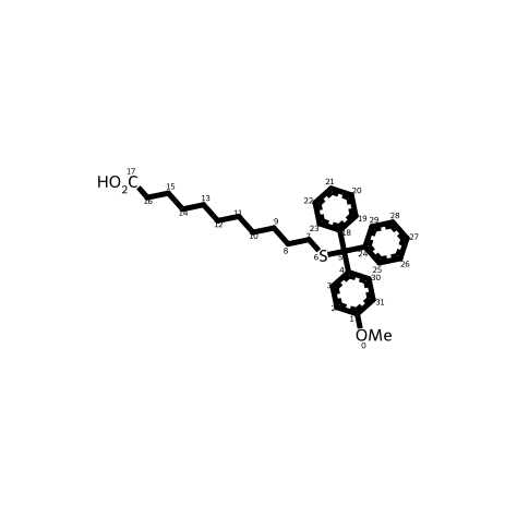 COc1ccc(C(SCCCCCCCCCCC(=O)O)(c2ccccc2)c2ccccc2)cc1